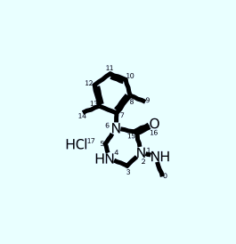 CNN1CNCN(c2c(C)cccc2C)C1=O.Cl